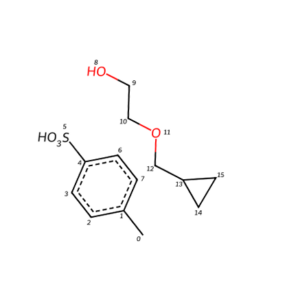 Cc1ccc(S(=O)(=O)O)cc1.OCCOCC1CC1